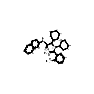 C=C(Nc1ccc2ccccc2c1)C(C1CCCCC1)N(C(=C)c1ccccc1C)C1CCCCC1